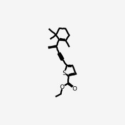 C=C(C#Cc1ccc(C(=O)OCC)s1)C1=C(C)CCCC1(C)C